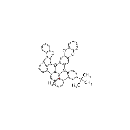 Cc1cc2c3c(c1)N(c1ccc(C(C)(C)C)cc1-c1ccccc1)c1cc4c(cc1B3n1c3oc5ccccc5c3c3cccc-2c31)Oc1ccccc1O4